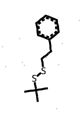 CC(C)(C)SSCCc1ccccc1